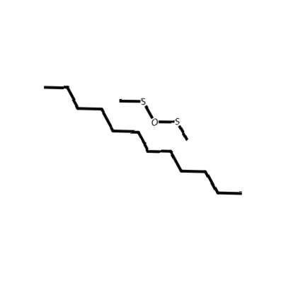 CCCCCCCCCCCC.CSOSC